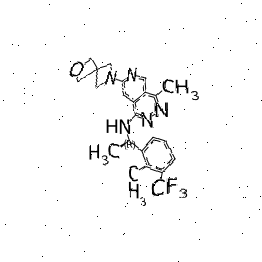 Cc1c([C@@H](C)Nc2nnc(C)c3cnc(N4CC5(COC5)C4)cc23)cccc1C(F)(F)F